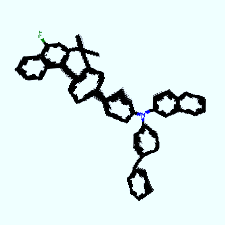 CC1(C)c2cc(-c3ccc(N(c4ccc(-c5ccccc5)cc4)c4ccc5ccccc5c4)cc3)ccc2-c2c1cc(F)c1ccccc21